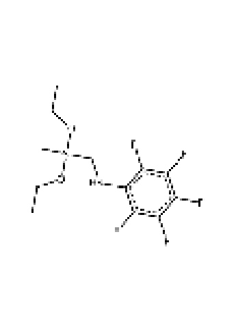 CCO[Si](C)(CNc1c(F)c(F)c(F)c(F)c1F)OCC